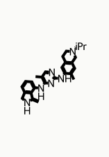 C=C1NCc2cccc(Nc3nc(Nc4cc5c(cc4C)CN(C(C)C)CC5)ncc3C)c21